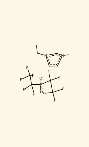 CC[n+]1ccn(C)c1.O=P([O-])(C(F)(F)C(F)(F)F)C(F)(F)C(F)(F)F